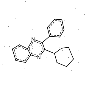 c1ccc(-c2nc3ccccc3nc2C2CCCCC2)cc1